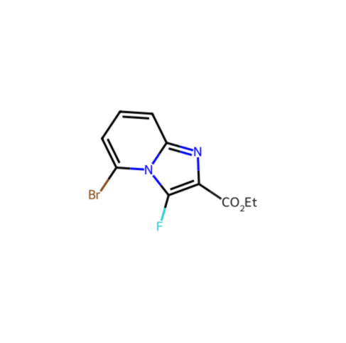 CCOC(=O)c1nc2cccc(Br)n2c1F